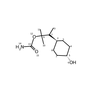 CC([C@H]1CC[C@H](O)CC1)C(C)(C)OC(N)=O